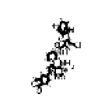 CN1[C@@H]2CC[C@H]1CC(Oc1cc(Cl)sc1C(=O)N[C@@H]1CCCN(c3cc(-c4ccc5c(c4)COC5=O)n4ncnc(N)c34)C1)C2